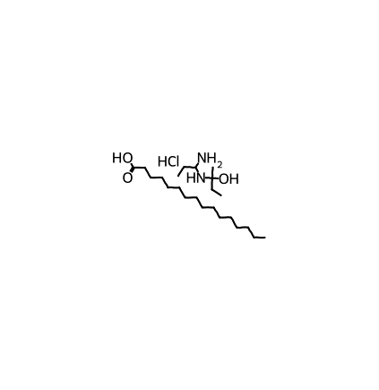 CCC(N)NC(C)(O)CC.CCCCCCCCCCCCCCCC(=O)O.Cl